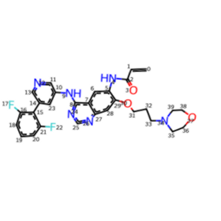 C=CC(=O)Nc1cc2c(Nc3cncc(-c4c(F)cccc4F)c3)ncnc2cc1OCCCN1CCOCC1